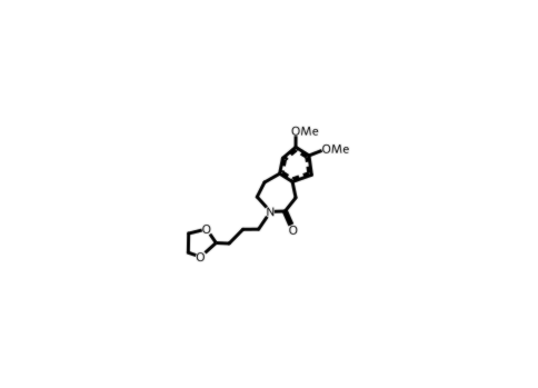 COc1cc2c(cc1OC)CC(=O)N(CCCC1OCCO1)CC2